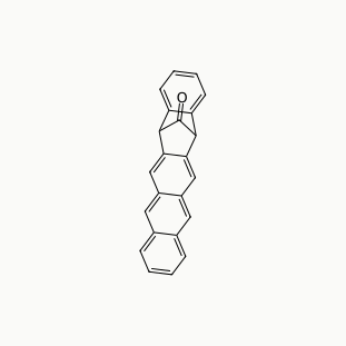 O=C1C2c3ccccc3C1c1cc3cc4ccccc4cc3cc12